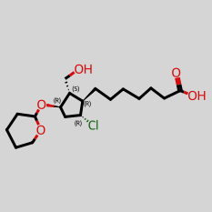 O=C(O)CCCCCC[C@@H]1[C@@H](CO)[C@H](OC2CCCCO2)C[C@H]1Cl